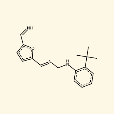 CC(C)(C)c1ccccc1NC/N=C/c1ccc(C=N)o1